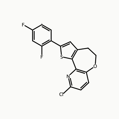 Fc1[c]cc(-c2cc3c(s2)-c2nc(Cl)ccc2OCC3)c(F)c1